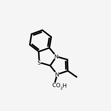 CC1=CN2c3ccccc3SC2N1C(=O)O